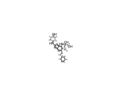 CC(C)(CO)Nc1nc(SCc2ccccc2)nc2nc(NC3CCC(O)CC3)sc12